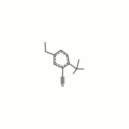 CCc1ccc(C(C)(C)C)c(C#N)c1